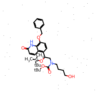 CC(C)(C)OC(=O)N(CCCCO)CC(O[Si](C)(C)C(C)(C)C)c1ccc(OCc2ccccc2)c2[nH]c(=O)ccc12